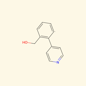 OCc1ccc[c]c1-c1ccncc1